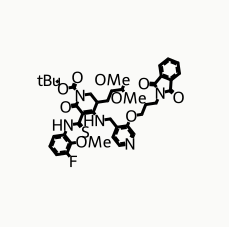 COc1c(F)cccc1NC(=S)C1=C(NCc2ccncc2OCCCN2C(=O)c3ccccc3C2=O)C(CCC(OC)OC)CN(C(=O)OC(C)(C)C)C1=O